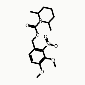 COc1ccc(COC(=O)N2C(C)CCCC2C)c([N+](=O)[O-])c1OC